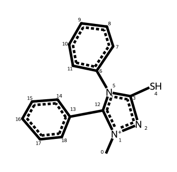 C[n+]1nc(S)n(-c2ccccc2)c1-c1ccccc1